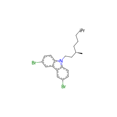 CC(C)CCC[C@@H](C)CCn1c2ccc(Br)cc2c2cc(Br)ccc21